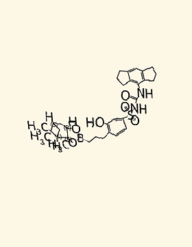 CC1(C)[C@@H]2C[C@H]3OB(CCCc4ccc(S(=O)(=O)NC(=O)Nc5c6c(cc7c5CCC7)CCC6)cc4O)O[C@@]3(C)[C@H]1C2